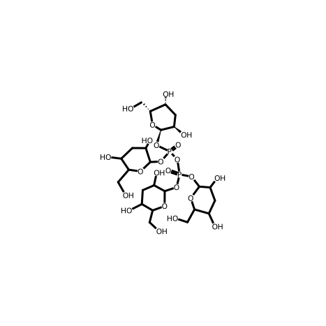 O=P(OC1OC(CO)C(O)CC1O)(OC1OC(CO)C(O)CC1O)OP(=O)(OC1OC(CO)C(O)CC1O)O[C@H]1O[C@H](CO)[C@H](O)C[C@H]1O